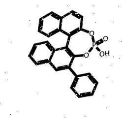 O=P1(O)Oc2ccc3ccccc3c2-c2c(c(-c3ccccc3)cc3ccccc23)O1